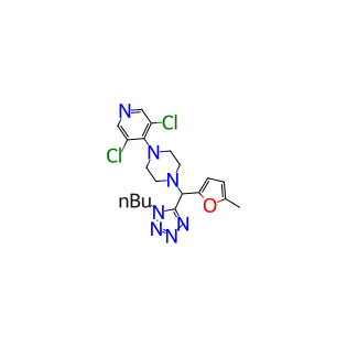 CCCCn1nnnc1C(c1ccc(C)o1)N1CCN(c2c(Cl)cncc2Cl)CC1